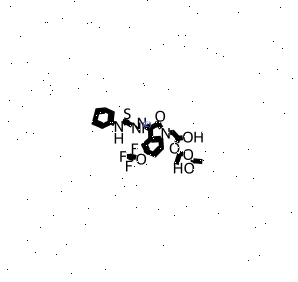 CC(O)OC(C)OC(O)CN1C(=O)/C(=N/NC(=S)Nc2ccccc2)c2cc(OC(F)(F)F)ccc21